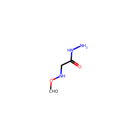 NNC(=O)CNOC=O